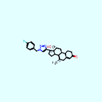 C[C@@H]1CC2=CC(=O)CCC2C2CC[C@@]3(C)C(CC[C@@]3(O)c3cn(Cc4ccc(F)cc4)nn3)C21